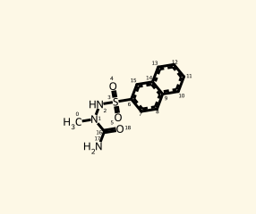 CN(NS(=O)(=O)c1ccc2ccccc2c1)C(N)=O